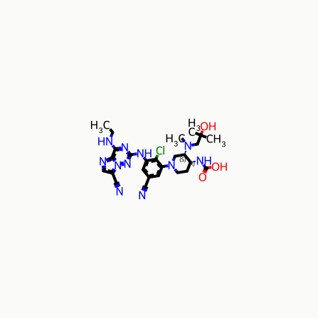 CCNc1nc(Nc2cc(C#N)cc(N3CC[C@@H](NC(=O)O)[C@@H](N(C)CC(C)(C)O)C3)c2Cl)nn2c(C#N)cnc12